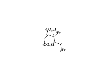 CCOC(=O)CC(C(=O)OCC)C(CC)CCC(C)C